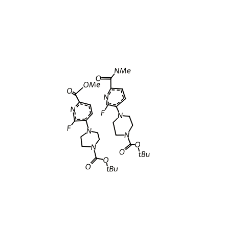 CNC(=O)c1ccc(N2CCN(C(=O)OC(C)(C)C)CC2)c(F)n1.COC(=O)c1ccc(N2CCN(C(=O)OC(C)(C)C)CC2)c(F)n1